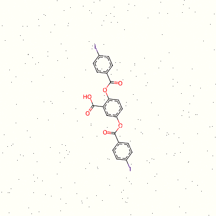 O=C(Oc1ccc(OC(=O)c2ccc(I)cc2)c(C(=O)O)c1)c1ccc(I)cc1